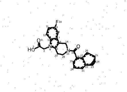 O=C(O)Cn1c2c(c3cc(F)ccc31)CN(C(=O)c1cccc3c#cccc13)CC2